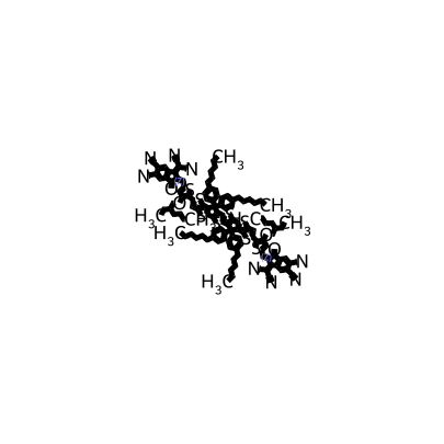 CCCCCCc1ccc(C2(c3ccc(CCCCCC)cc3)c3c(sc4cc(-c5sc(/C=C6\C(=O)c7cc(C#N)c(C#N)cc7C6=C(C#N)C#N)cc5OCC(CC)CCCC)sc34)-c3sc4c5c(sc4c32)-c2sc3cc(-c4sc(/C=C6\C(=O)c7cc(C#N)c(C#N)cc7C6=C(C#N)C#N)cc4OCC(CC)CCCC)sc3c2C5(c2ccc(CCCCCC)cc2)c2ccc(CCCCCC)cc2)cc1